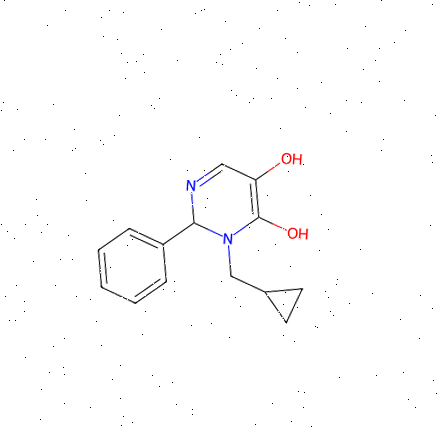 OC1=C(O)N(CC2CC2)C(c2ccccc2)N=C1